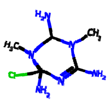 CN1C(N)=NC(N)(Cl)N(C)C1N